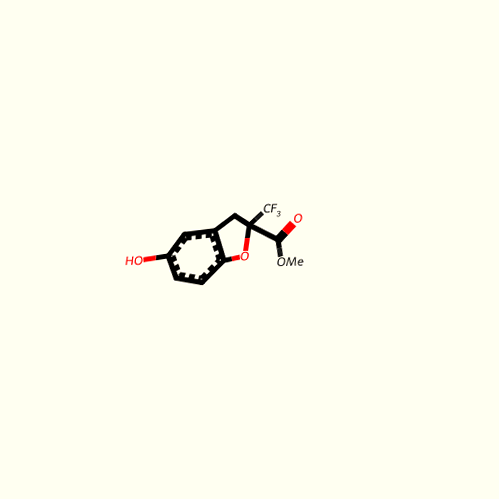 COC(=O)C1(C(F)(F)F)Cc2cc(O)ccc2O1